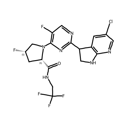 O=C(NCC(F)(F)F)[C@@H]1C[C@H](F)CN1c1nc(C2CNc3ncc(Cl)cc32)ncc1F